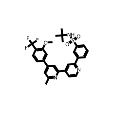 COc1cc(-c2cc(C)nc(-c3ccnc(-c4cccc(S(=O)(=O)NC(C)(C)C)c4)c3)c2)ccc1C(F)(F)F